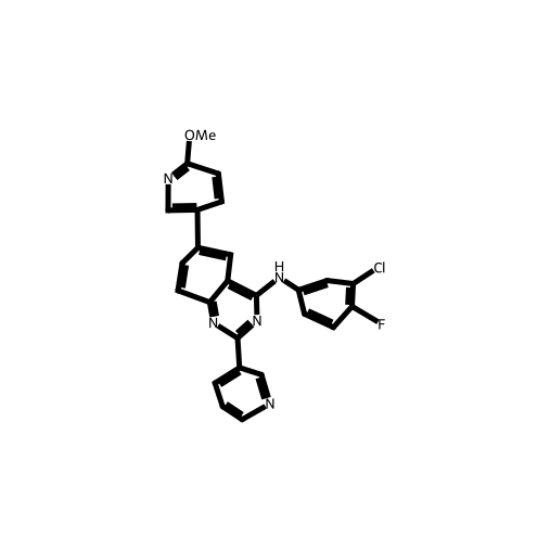 COc1ccc(-c2ccc3nc(-c4cccnc4)nc(Nc4ccc(F)c(Cl)c4)c3c2)cn1